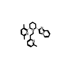 Cc1cccc(CCN2[C@@H](c3cn4ccccc4n3)CCC[C@H]2c2nc(C)ccc2C)n1